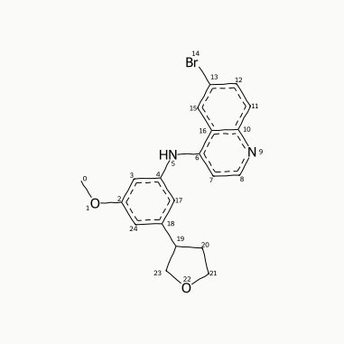 COc1cc(Nc2ccnc3ccc(Br)cc23)cc(C2CCOC2)c1